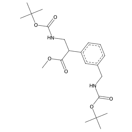 COC(=O)C(CNC(=O)OC(C)(C)C)c1cccc(CNC(=O)OC(C)(C)C)c1